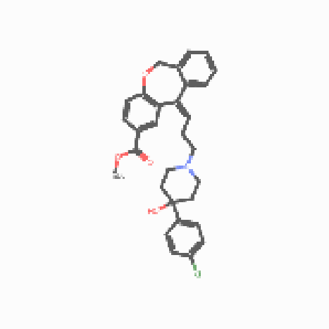 CCCCOC(=O)c1ccc2c(c1)/C(=C\CCN1CCC(O)(c3ccc(Cl)cc3)CC1)c1ccccc1CO2